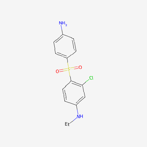 CCNc1ccc(S(=O)(=O)c2ccc(N)cc2)c(Cl)c1